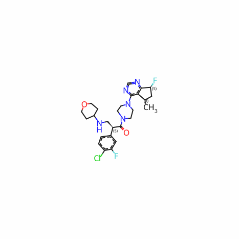 C[C@@H]1C[C@H](F)c2ncnc(N3CCN(C(=O)[C@H](CNC4CCOCC4)c4ccc(Cl)c(F)c4)CC3)c21